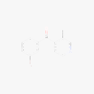 O=C(O)c1cnccc1C(=O)c1cccc(Br)c1